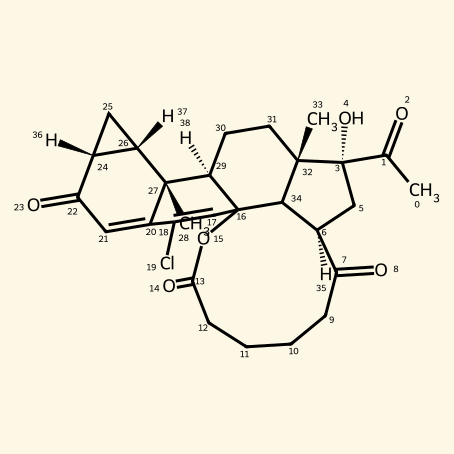 CC(=O)[C@@]1(O)C[C@H]2C(=O)CCCCC(=O)OC34C=C(Cl)C5=CC(=O)[C@@H]6C[C@@H]6[C@]5(C)[C@H]3CC[C@@]1(C)C24